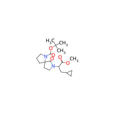 COC(=O)C(CC1CC1)N1CCC2(CCCN2C(=O)OC(C)(C)C)C1=O